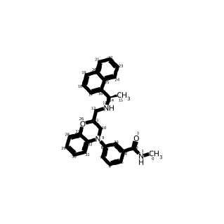 CNC(=O)c1cccc(N2CC(CN[C@H](C)c3cccc4ccccc34)Oc3ccccc32)c1